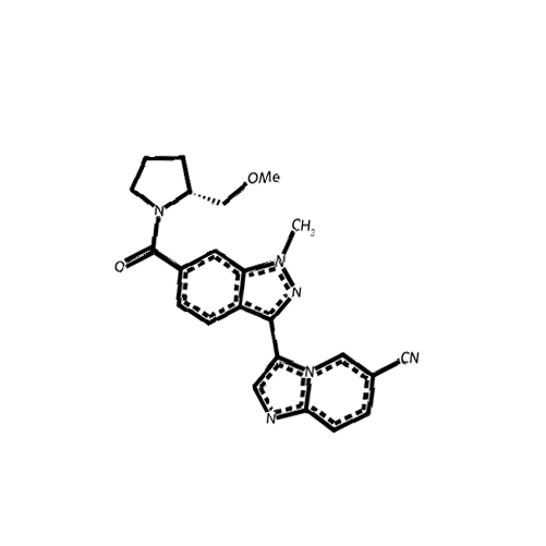 COC[C@H]1CCCN1C(=O)c1ccc2c(-c3cnc4ccc(C#N)cn34)nn(C)c2c1